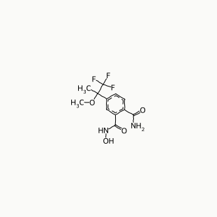 COC(C)(c1ccc(C(N)=O)c(C(=O)NO)c1)C(F)(F)F